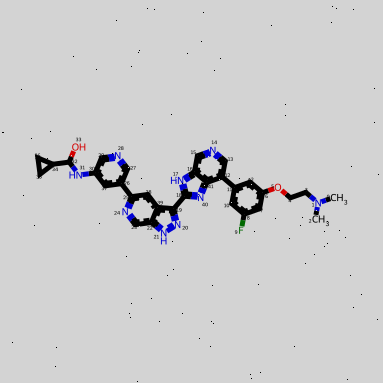 CN(C)CCOc1cc(F)cc(-c2cncc3[nH]c(-c4n[nH]c5cnc(-c6cncc(NC(O)C7CC7)c6)cc45)nc23)c1